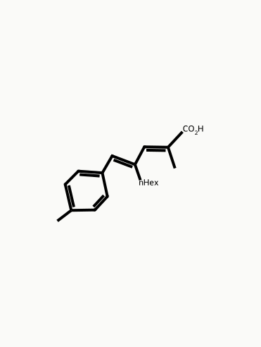 CCCCCCC(=C\c1ccc(C)cc1)/C=C(\C)C(=O)O